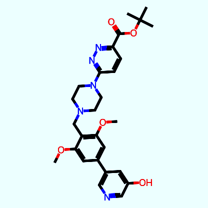 COc1cc(-c2cncc(O)c2)cc(OC)c1CN1CCN(c2ccc(C(=O)OC(C)(C)C)nn2)CC1